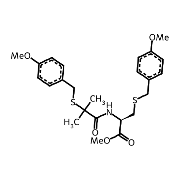 COC(=O)[C@H](CSCc1ccc(OC)cc1)NC(=O)C(C)(C)SCc1ccc(OC)cc1